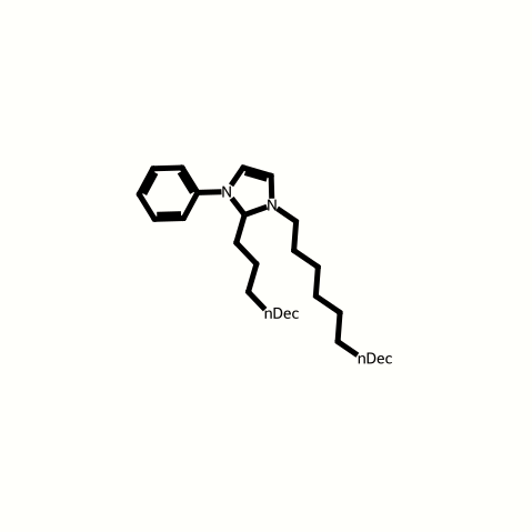 CCCCCCCCCCCCCCCCN1C=CN(c2ccccc2)C1CCCCCCCCCCCCC